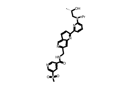 CCCN(C[C@H](C)O)c1cccc(-c2ccc3cnc(CNC(=O)c4cncc(S(C)(=O)=O)c4)cc3n2)n1